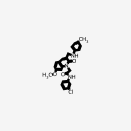 COc1ccc2cc(CNc3ccc(C)cc3)c(=O)n(CC(=O)Nc3cccc(Cl)c3)c2c1